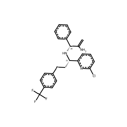 C=C(N)[C@H](N[C@@H](CCc1ccc(C(F)(F)F)cc1)c1cccc(Cl)n1)c1ccccc1